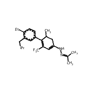 CCc1ccc(C2=C(C(F)(F)F)C=C(NN=C(C)C)CC2C)cc1CC(C)C